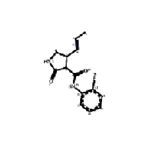 C/C=C/C1CNC(=O)C1C(=O)Nc1ccccc1F